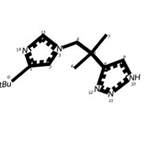 CC(C)(C)c1cn(CC(C)(C)c2c[nH]nn2)cn1